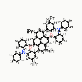 CC(C)c1cc2c3c(c1)N(c1ccccc1)c1ccccc1B3c1cc3c(C(C)C)cc4c5c(cc6c(C(C)C)cc-2c1c6c35)B1c2ccccc2N(c2ccccc2)c2cc(C(C)C)cc-4c21